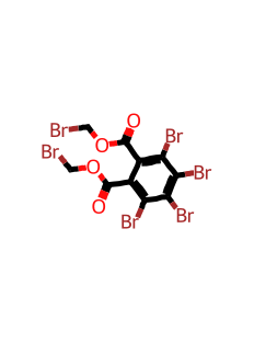 O=C(OCBr)c1c(Br)c(Br)c(Br)c(Br)c1C(=O)OCBr